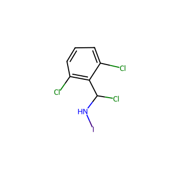 Clc1cccc(Cl)c1C(Cl)NI